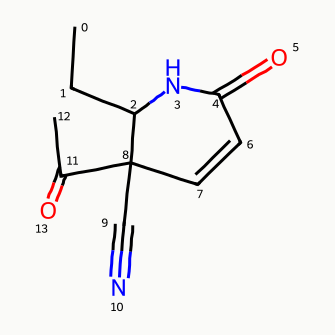 CCC1NC(=O)C=CC1(C#N)C(C)=O